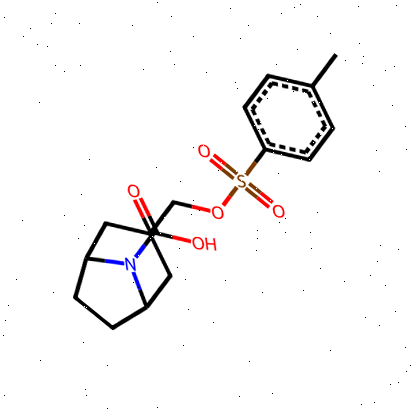 Cc1ccc(S(=O)(=O)OCC2CC3CCC(C2)N3C(=O)O)cc1